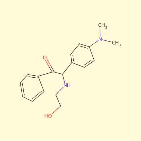 CN(C)c1ccc(C(NCCO)C(=O)c2ccccc2)cc1